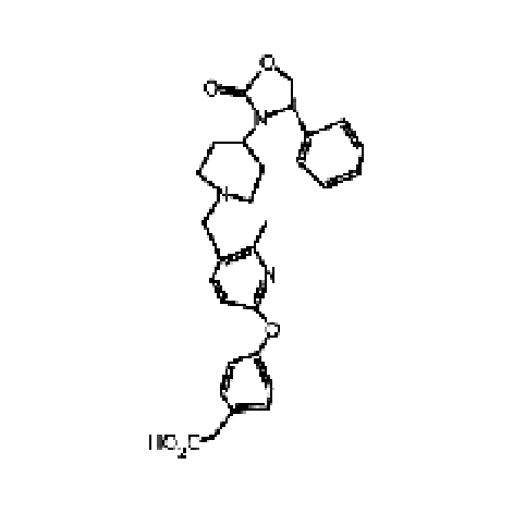 Cc1nc(Oc2ccc(CC(=O)O)cc2)ccc1CN1CCC(N2C(=O)OC[C@H]2c2ccccc2)CC1